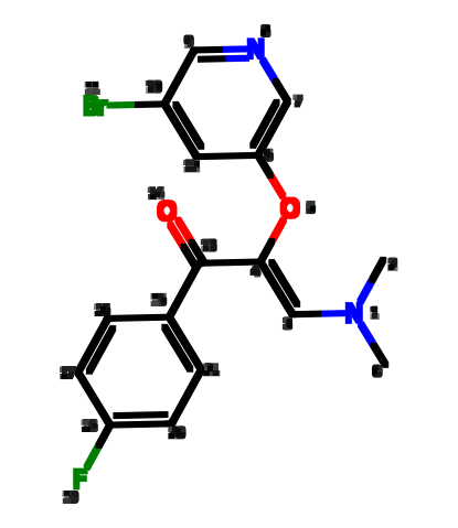 CN(C)C=C(Oc1cncc(Br)c1)C(=O)c1ccc(F)cc1